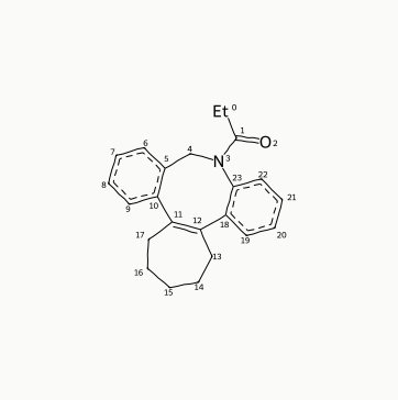 CCC(=O)N1Cc2ccccc2C2=C(CCCCC2)c2ccccc21